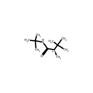 C[C@@H](C(=O)NC(C)(C)C)C(C)(C)C